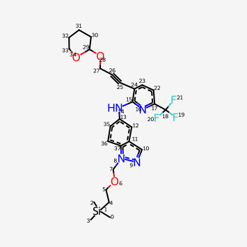 C[Si](C)(C)CCOCn1ncc2cc(Nc3nc(C(F)(F)F)ccc3C#CCOC3CCCCO3)ccc21